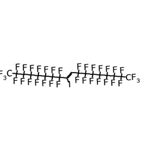 FC(F)(F)C(F)(F)C(F)(F)C(F)(F)C(F)(F)C(F)(F)C(F)(F)C(F)(F)C=C(I)C(F)(F)C(F)(F)C(F)(F)C(F)(F)C(F)(F)C(F)(F)C(F)(F)C(F)(F)F